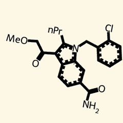 CCCc1c(C(=O)COC)c2ccc(C(N)=O)cc2n1Cc1ccccc1Cl